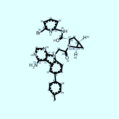 Cc1ccc(-c2ccc3c(c2)c2c(N)ncnc2n3CC(=O)N2[C@@H]3C[C@@H]3C[C@H]2C(=O)Nc2cccc(Br)n2)cc1